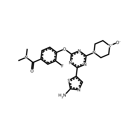 CN(C)C(=O)c1ccc(Oc2nc(-c3cnc(N)s3)nc(N3CC[S+]([O-])CC3)n2)c(F)c1